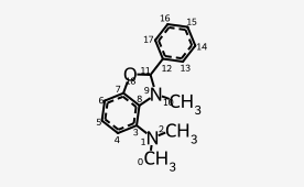 CN(C)c1cccc2c1N(C)C(c1ccccc1)O2